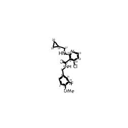 COc1ccc(CNC(=O)c2c(Cl)ccnc2NCC2CC2)cc1F